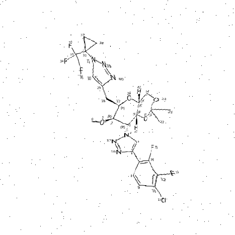 CO[C@@H]1[C@@H](n2cc(-c3ccc(Cl)c(F)c3F)nn2)[C@H]2OC(C)(C)OC[C@H]2O[C@@H]1Cc1cn(C2(C(F)(F)F)CC2)nn1